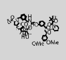 CCC(C)(C)C(=O)C(=O)N1CCCC[C@H]1C(=O)O[C@H](CCc1ccc(OC)c(OC)c1)c1cccc(OCCNC(=O)c2cccc(CN3C[C@@H](SC4=C(C(=O)O)N5C(=O)[C@H]([C@@H](C)O)[C@H]5[C@H]4C)C[C@H]3C(=O)N(C)C)c2)c1